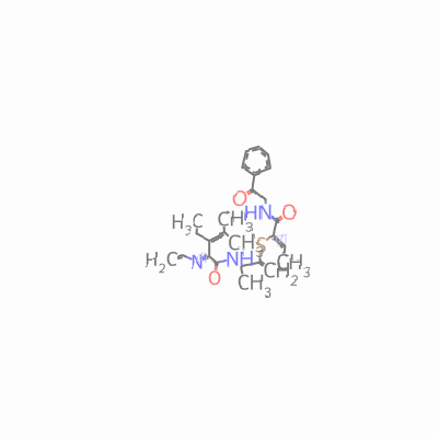 C=C/N=C(/C(=O)NC(C)C(=C)S/C(=C\C)C(=O)NCC(=O)c1ccccc1)C(CC)=C(C)C